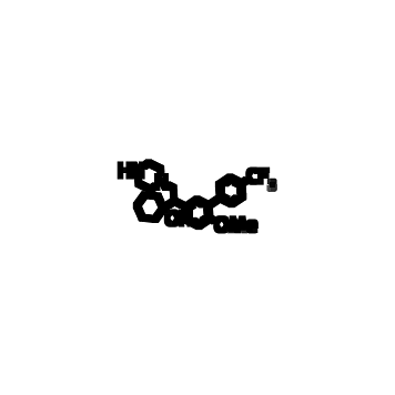 COc1ccc(C(CN2CCNCC2)C2(O)CCCCC2)cc1-c1ccc(C(F)(F)F)cc1